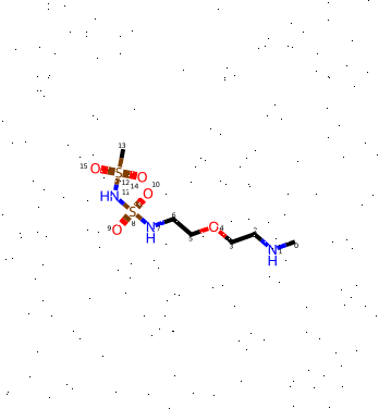 CNCCOCCNS(=O)(=O)NS(C)(=O)=O